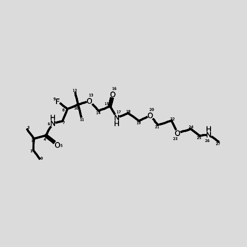 CCC(C)C(=O)NCC(F)C(C)(C)OCC(=O)NCCOCCOCCNC